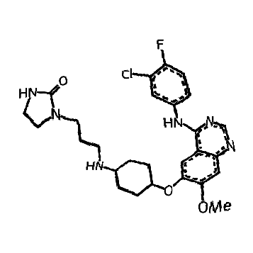 COc1cc2ncnc(Nc3ccc(F)c(Cl)c3)c2cc1OC1CCC(NCCCN2CCNC2=O)CC1